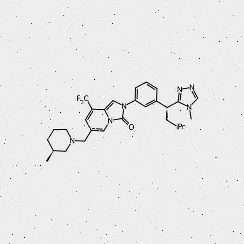 CC(C)C[C@@H](c1cccc(-n2cc3c(C(F)(F)F)cc(CN4CCC[C@H](C)C4)cn3c2=O)c1)c1nncn1C